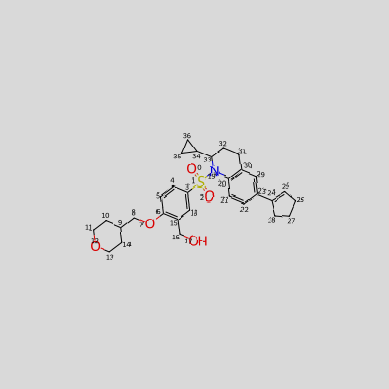 O=S(=O)(c1ccc(OCC2CCOCC2)c(CO)c1)N1c2ccc(C3=CCCC3)cc2CCC1C1CC1